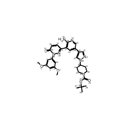 COc1cc(OC)cc(-n2nc(-c3cc(-c4cnn(C5CCN(C(=O)OC(C)(C)C)CC5)c4)cnc3N)ccc2=O)c1